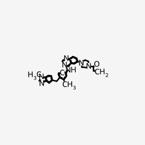 C=CC(=O)N1CCN(c2ccc3ncnc(Nc4ccc(Cc5ccc6c(c5)ncn6C)c(C)c4)c3c2)CC1